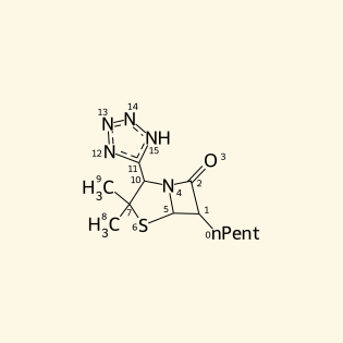 CCCCCC1C(=O)N2C1SC(C)(C)C2c1nnn[nH]1